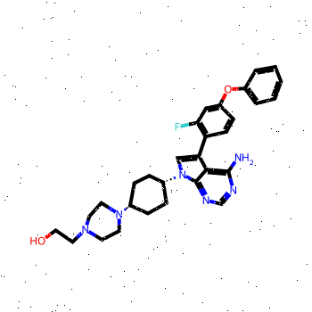 Nc1ncnc2c1c(-c1ccc(Oc3ccccc3)cc1F)cn2[C@H]1CC[C@@H](N2CCN(CCO)CC2)CC1